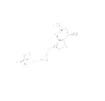 Nc1nc(N)c2ncn(CC3CC3OCP(=O)(O)O)c2n1